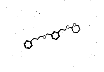 c1ccc(CCCOCc2cccc(CCOC3CCCCO3)c2)cc1